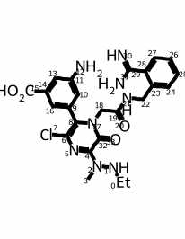 CCNN(C)c1nc(Cl)c(-c2cc(N)cc(C(=O)O)c2)n(CC(=O)NCc2ccccc2C(=N)N)c1=O